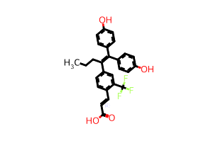 CCCC(=C(c1ccc(O)cc1)c1ccc(O)cc1)c1ccc(/C=C/C(=O)O)c(C(F)(F)F)c1